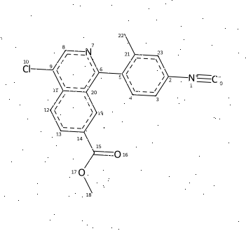 [C-]#[N+]c1ccc(-c2ncc(Cl)c3ccc(C(=O)OC)cc23)c(C)c1